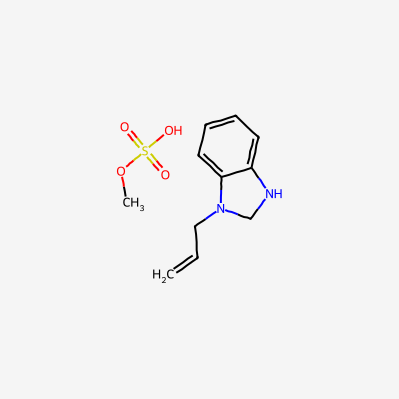 C=CCN1CNc2ccccc21.COS(=O)(=O)O